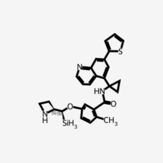 Cc1ccc(O[C@@H]([SiH3])[C@@H]2CCN2)cc1C(=O)NC1(c2cc(-c3cccs3)cc3ncccc23)CC1